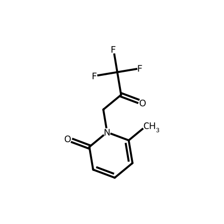 Cc1cccc(=O)n1CC(=O)C(F)(F)F